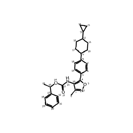 Cc1noc(-c2ccc(C3CCC(C4CC4)CC3)cc2)c1NC(=O)OC(C)c1ccccc1